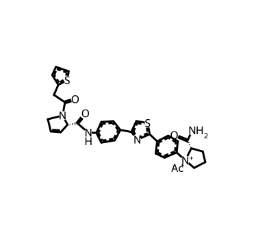 CC(=O)[N+]1(c2ccc(-c3nc(-c4ccc(NC(=O)[C@@H]5C=CCN5C(=O)Cc5cccs5)cc4)cs3)cc2)CCC[C@H]1C(N)=O